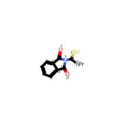 CCCC(S)N1C(=O)c2ccccc2C1=O